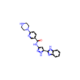 O=C(Nc1cc(-c2nc3ccccc3[nH]2)[nH]n1)c1ccc(N2CCNCC2)nc1